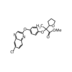 COC(=O)C(C)(Oc1ccc(Oc2cnc3cc(Cl)ccc3n2)cc1)C1CCCO1